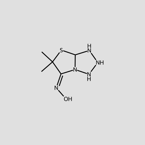 CC1(C)SC2NNNN2/C1=N\O